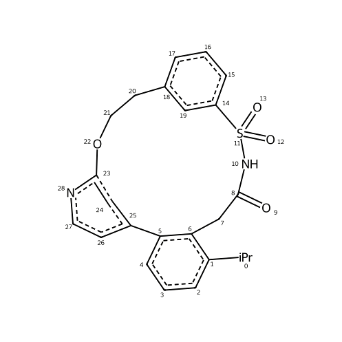 CC(C)c1cccc2c1CC(=O)NS(=O)(=O)c1cccc(c1)CCOc1cc-2ccn1